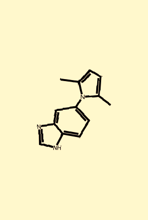 Cc1[c]cc(C)n1-c1ccc2[nH]cnc2c1